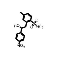 Cc1ccc(S(N)(=O)=O)c(CC(O)c2ccc([N+](=O)[O-])cc2)c1